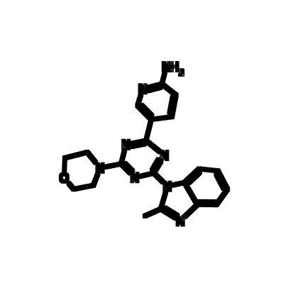 Cc1nc2ccccc2n1-c1nc(-c2ccc(N)nc2)nc(N2CCOCC2)n1